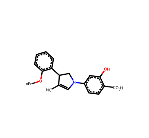 CCCOc1ccccc1C1CN(c2ccc(C(=O)O)c(O)c2)C=C1C#N